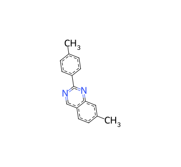 Cc1ccc(-c2ncc3ccc(C)cc3n2)cc1